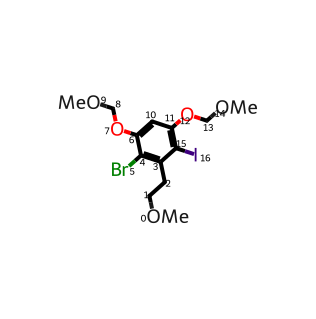 COCCc1c(Br)c(OCOC)cc(OCOC)c1I